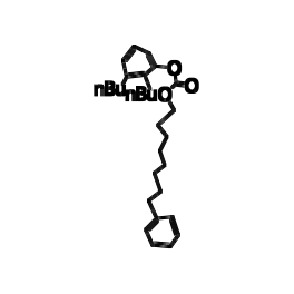 CCCCc1cccc(OC(=O)OCCCCCCCCc2ccccc2)c1CCCC